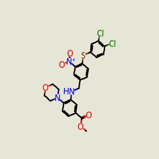 COC(=O)c1ccc(N2CCOCC2)c(NCc2ccc(Sc3ccc(Cl)c(Cl)c3)c([N+](=O)[O-])c2)c1